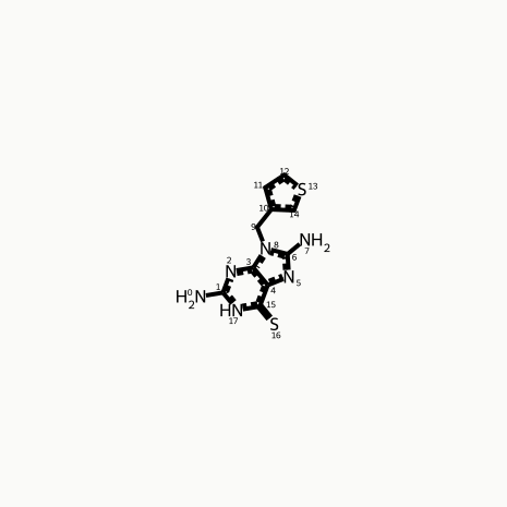 Nc1nc2c(nc(N)n2Cc2ccsc2)c(=S)[nH]1